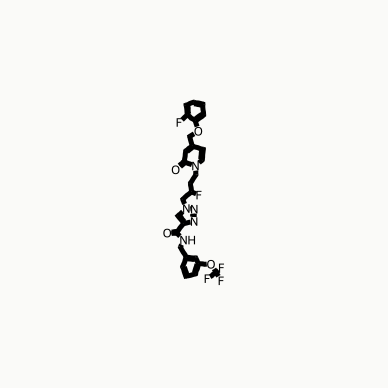 O=C(NCc1cccc(OC(F)(F)F)c1)c1cn(CC(F)CCn2ccc(COc3ccccc3F)cc2=O)nn1